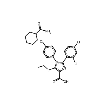 CCSc1c(C(=O)O)nc(-c2ccc(Cl)cc2Cl)n1-c1ccc(Cl)cc1.NC(=O)N1CCCCC1